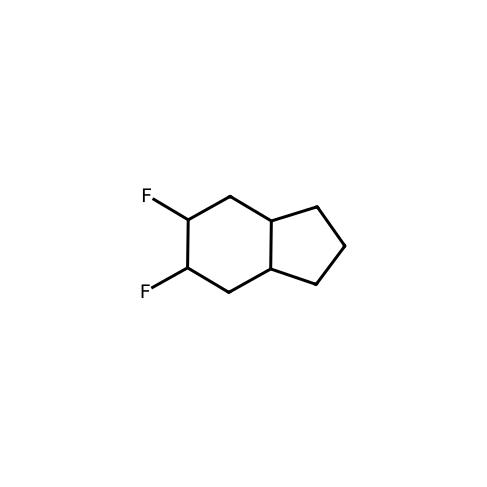 FC1CC2CCCC2CC1F